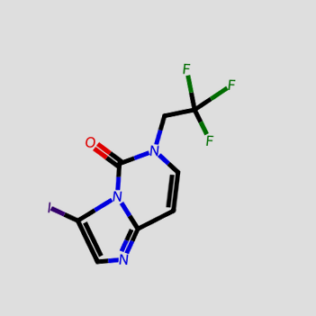 O=c1n(CC(F)(F)F)ccc2ncc(I)n12